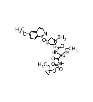 BN1C[C@H](Oc2nccc3cc(OC)ccc23)C[C@H]1C(=O)N[C@]1(C(=O)NS(=O)(=O)OC2(CC)CC2)C[C@H]1CC